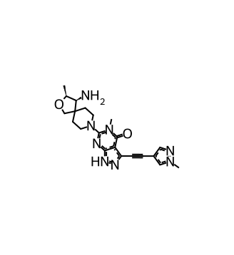 C[C@@H]1OCC2(CCN(c3nc4[nH]nc(C#Cc5cnn(C)c5)c4c(=O)n3C)CC2)[C@@H]1N